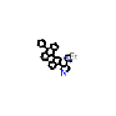 C/C=C\C(=C/CC)c1ccncc1-c1ccc(-c2c3ccccc3c(C3C=CC=CC3)c3ccccc23)c2ccccc12